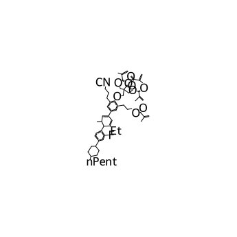 C=C(C)C(=O)OCCCc1cc(C2=CC(C)C(c3ccc(C4CCC(CCCCC)CC4)cc3F)C(CC)=C2)cc(CCCC#N)c1OCC(COC(=O)C(=C)C)(COC(=O)C(=C)C)COC(=O)C(=C)C